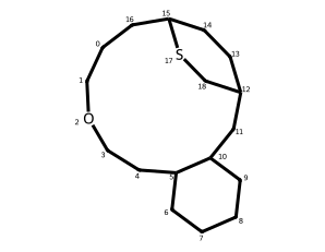 C1COCCC2CCCCC2CC2CCC(C1)SC2